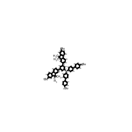 CC(C)(C)c1ccc(-c2ccc(N(c3ccc(-c4ccc(C(C)(C)C)cc4)cc3)c3cc(-c4ccc5c(c4)C(C)(C)c4cc(C(C)(C)C)ccc4-5)cc(-c4ccc5c(c4)C(C)(C)c4cc(C(C)(C)C)ccc4-5)c3)cc2)cc1